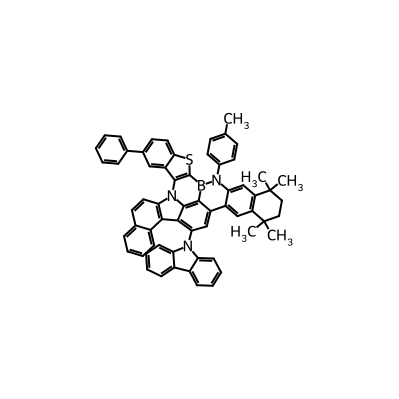 Cc1ccc(N2B3c4sc5ccc(-c6ccccc6)cc5c4-n4c5ccc6ccccc6c5c5c(-n6c7ccccc7c7ccccc76)cc(c3c54)-c3cc4c(cc32)C(C)(C)CCC4(C)C)cc1